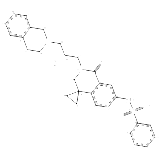 O=C1c2cc(NS(=O)(=O)c3ccccc3)ccc2C2(CC2)CN1C[C@H](O)CN1CCc2ccccc2C1